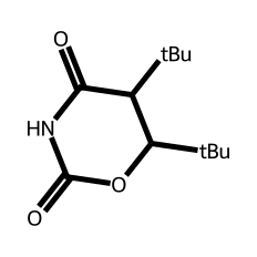 CC(C)(C)C1OC(=O)NC(=O)C1C(C)(C)C